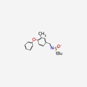 Cc1cc(/C=N/[S@+]([O-])C(C)(C)C)ccc1Oc1ccccc1